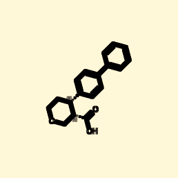 O=C(O)[C@@H]1COCC[C@@H]1c1ccc(-c2ccccc2)cc1